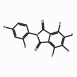 O=C1c2c(F)c(F)c(F)c(F)c2C(=O)N1c1ccc(F)cc1F